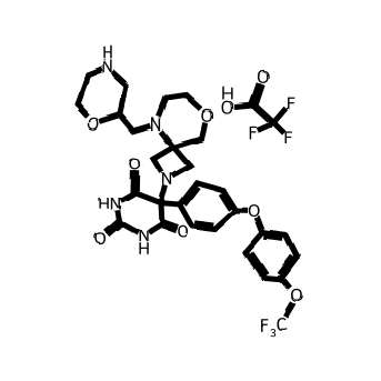 O=C(O)C(F)(F)F.O=C1NC(=O)C(c2ccc(Oc3ccc(OC(F)(F)F)cc3)cc2)(N2CC3(COCCN3CC3CNCCO3)C2)C(=O)N1